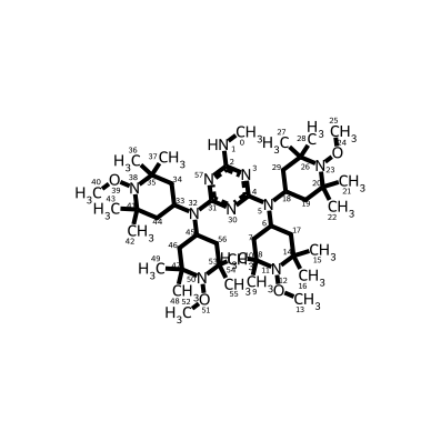 CNc1nc(N(C2CC(C)(C)N(OC)C(C)(C)C2)C2CC(C)(C)N(OC)C(C)(C)C2)nc(N(C2CC(C)(C)N(OC)C(C)(C)C2)C2CC(C)(C)N(OC)C(C)(C)C2)n1